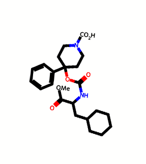 COC(=O)C(CC1CCCCC1)NC(=O)OC1(c2ccccc2)CCN(C(=O)O)CC1